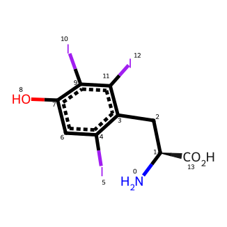 N[C@@H](Cc1c(I)cc(O)c(I)c1I)C(=O)O